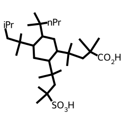 CCCC(C)(C)C1CC(C(C)(C)CC(C)(C)C(=O)O)C(C(C)(C)CC(C)(C)S(=O)(=O)O)CC1C(C)(C)CC(C)C